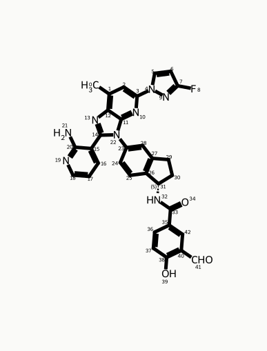 Cc1cc(-n2ccc(F)n2)nc2c1nc(-c1cccnc1N)n2-c1ccc2c(c1)CC[C@@H]2NC(=O)c1ccc(O)c(C=O)c1